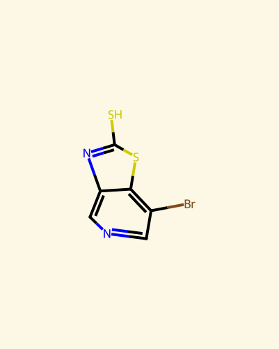 Sc1nc2cncc(Br)c2s1